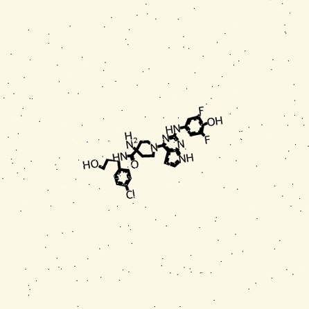 NC1(C(=O)N[C@H](CCO)c2ccc(Cl)cc2)CCN(c2nc(Nc3cc(F)c(O)c(F)c3)nc3[nH]ccc23)CC1